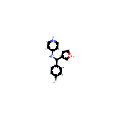 Clc1ccc(C(Nc2ccncc2)c2ccoc2)cc1